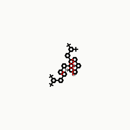 CC(C)(C)c1cc(-c2cccc(-c3ccc(N(c4cc(Cl)cc(N(c5ccc(-c6cccc(-c7cc(C(C)(C)C)cc(C(C)(C)C)c7)c6)cc5)c5c(-c6ccccc6)cccc5-c5ccccc5)c4)c4c(-c5ccccc5)cccc4-c4ccccc4)cc3)c2)cc(C(C)(C)C)c1